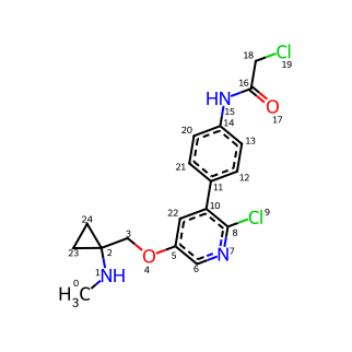 CNC1(COc2cnc(Cl)c(-c3ccc(NC(=O)CCl)cc3)c2)CC1